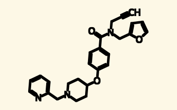 C#CCN(Cc1ccco1)C(=O)c1ccc(OC2CCN(Cc3ccccn3)CC2)cc1